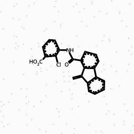 C=C1c2ccccc2-c2cccc(C(=O)Nc3cccc(C(=O)O)c3Cl)c21